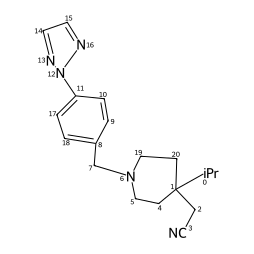 CC(C)C1(CC#N)CCN(Cc2ccc(-n3nccn3)cc2)CC1